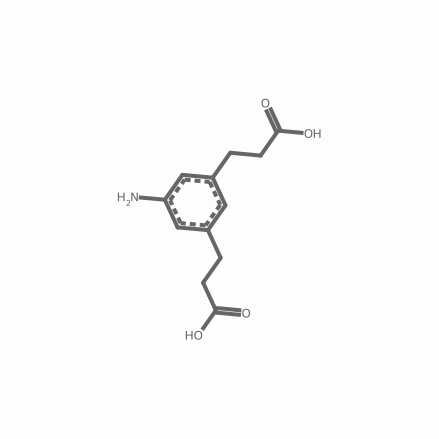 Nc1cc(CCC(=O)O)cc(CCC(=O)O)c1